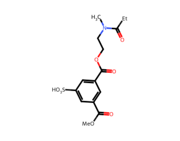 CCC(=O)N(C)CCOC(=O)c1cc(C(=O)OC)cc(S(=O)(=O)O)c1